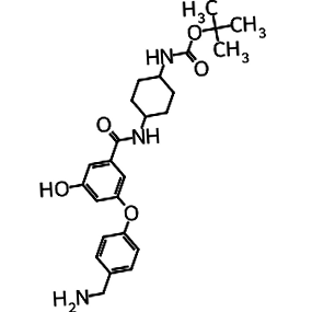 CC(C)(C)OC(=O)NC1CCC(NC(=O)c2cc(O)cc(Oc3ccc(CN)cc3)c2)CC1